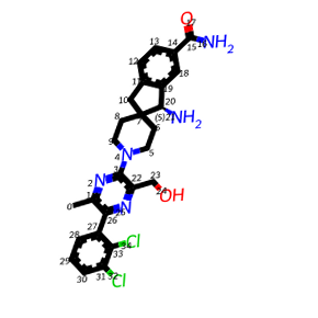 Cc1nc(N2CCC3(CC2)Cc2ccc(C(N)=O)cc2[C@H]3N)c(CO)nc1-c1cccc(Cl)c1Cl